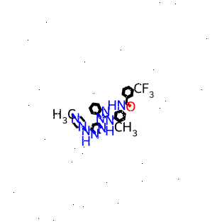 Cc1ccc(NC(=O)c2cccc(C(F)(F)F)c2)cc1Nc1nc2ccccc2n1-c1cc(NN2CCN(C)CC2)ncn1